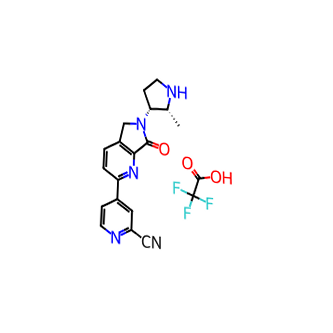 C[C@H]1NCC[C@H]1N1Cc2ccc(-c3ccnc(C#N)c3)nc2C1=O.O=C(O)C(F)(F)F